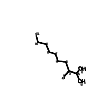 OC(O)C(I)CCCCCCI